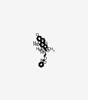 C[C@@H]1C[C@H]2[C@@H]3CCC4=CC(=O)C=C[C@]4(C)[C@@]3(F)[C@@H](O)C[C@]2(C)[C@@]1(O)C(=O)NCCOc1nc2ccccc2o1